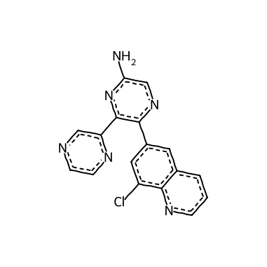 Nc1cnc(-c2cc(Cl)c3ncccc3c2)c(-c2cnccn2)n1